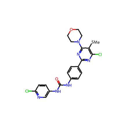 CSc1c(Cl)nc(-c2ccc(NC(=O)Nc3ccc(Cl)nc3)cc2)nc1N1CCOCC1